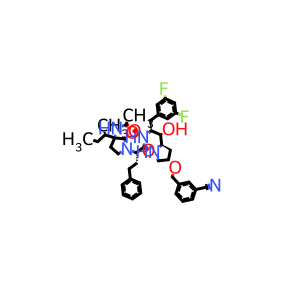 CC[C@@H](C)[C@@]1(NC(C)=O)CCN([C@@H](CCc2ccccc2)C(=O)N[C@@H](Cc2cc(F)cc(F)c2)[C@@H](O)[C@H]2C[C@@H](OCc3cccc(C#N)c3)CN2)C1=O